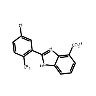 O=C(O)c1cccc2[nH]c(-c3cc(Cl)ccc3C(F)(F)F)nc12